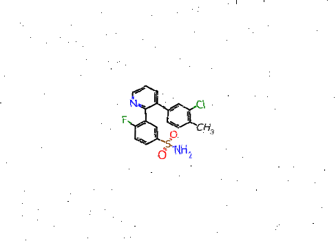 Cc1ccc(-c2cccnc2-c2cc(S(N)(=O)=O)ccc2F)cc1Cl